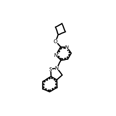 c1ccc2c(c1)CN(c1ccnc(OC3CCC3)n1)S2